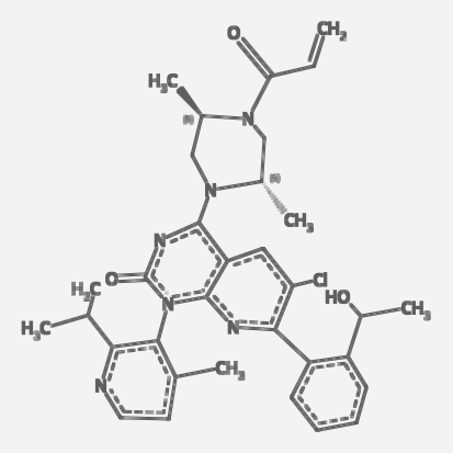 C=CC(=O)N1C[C@H](C)N(c2nc(=O)n(-c3c(C)ccnc3C(C)C)c3nc(-c4ccccc4C(C)O)c(Cl)cc23)C[C@H]1C